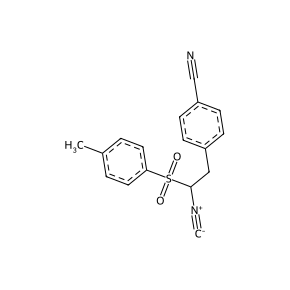 [C-]#[N+]C(Cc1ccc(C#N)cc1)S(=O)(=O)c1ccc(C)cc1